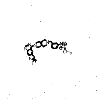 CCS(=O)(=O)Nc1cccc(CN2CCC3(CC2)CCN(c2ncnc4ccc(CC(F)(F)F)cc24)CC3)c1